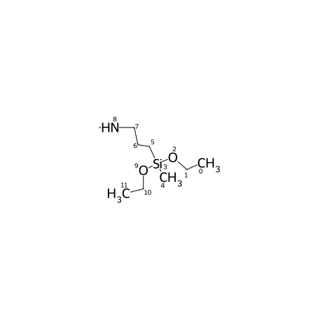 CCO[Si](C)(CCC[NH])OCC